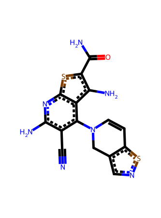 N#Cc1c(N)nc2sc(C(N)=O)c(N)c2c1N1C=Cc2sncc2C1